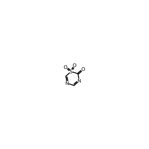 O=C1N=CN=CS1(=O)=O